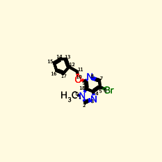 Cn1cnc2c(Br)cnc(OCc3ccccc3)c21